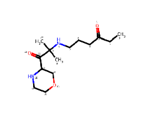 CCC(=O)CCCNC(C)(C)C(=O)C1COCCN1